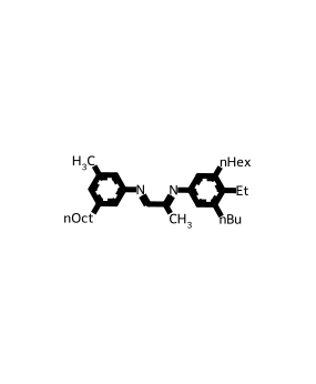 CCCCCCCCc1cc(C)cc(N=CC(C)=Nc2cc(CCCC)c(CC)c(CCCCCC)c2)c1